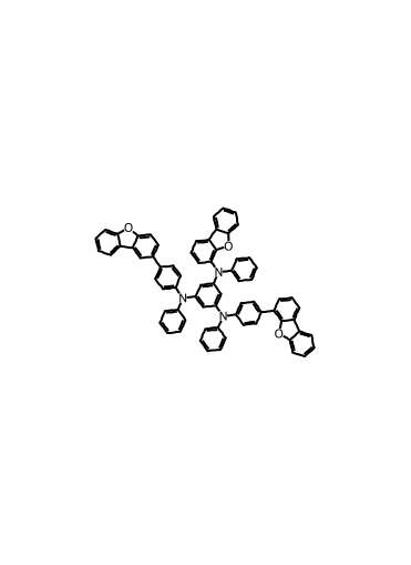 c1ccc(N(c2ccc(-c3ccc4oc5ccccc5c4c3)cc2)c2cc(N(c3ccccc3)c3ccc(-c4cccc5c4oc4ccccc45)cc3)cc(N(c3ccccc3)c3cccc4c3oc3ccccc34)c2)cc1